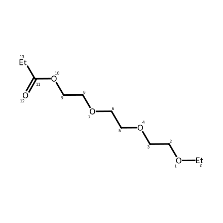 CCOCCOCCOCCOC(=O)CC